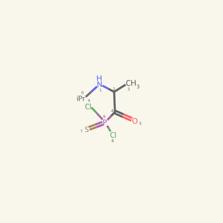 CC(C)NC(C)C(=O)P(=S)(Cl)Cl